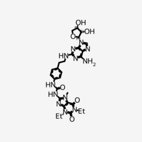 CCn1c(=O)c2c(nc(NC(=O)Nc3ccc(CCNc4nc(N)c5ncn([C@@H]6OC[C@@H](O)[C@H]6O)c5n4)cc3)n2C)n(CC)c1=O